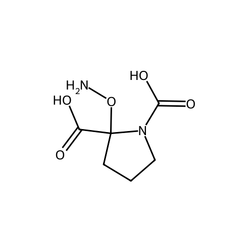 NOC1(C(=O)O)CCCN1C(=O)O